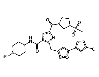 CC(C)N1CCC(NC(=O)c2cc(C(=O)N3CCC(S(C)(=O)=O)C3)nn2Cc2cc(-c3ccc(Cl)s3)on2)CC1